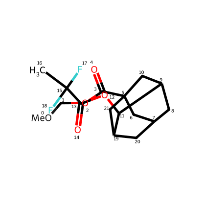 COCOC(=O)C12CC3CC(C1)C(OC(=O)C(C)(F)F)C(C3)C2